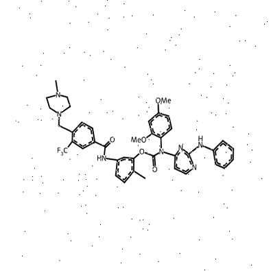 COc1ccc(N(C(=O)Oc2cc(NC(=O)c3ccc(CN4CCN(C)CC4)c(C(F)(F)F)c3)ccc2C)c2ccnc(Nc3ccccc3)n2)c(OC)c1